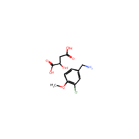 COc1ccc(CN)cc1Cl.O=C(O)CC(O)C(=O)O